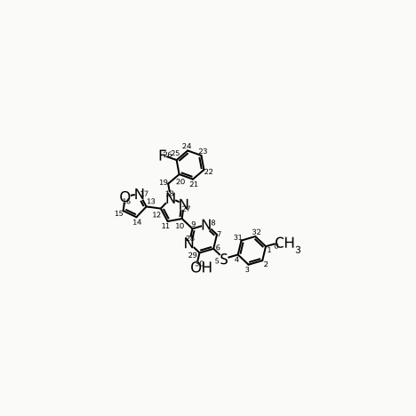 Cc1ccc(Sc2cnc(-c3cc(-c4ccon4)n(Cc4ccccc4F)n3)nc2O)cc1